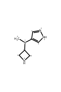 CN(c1cn[nH]c1)C1CNC1